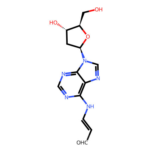 O=CC=CNc1ncnc2c1ncn2[C@H]1C[C@H](O)[C@@H](CO)O1